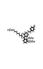 CCCCCCCCCCCCCCCC(=O)OC(c1cccc(OC)c1OC)C1CCN(CCc2ccc(F)cc2)CC1